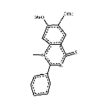 COc1cc2c(=S)nc(-c3ccccc3)n(C)c2cc1OC